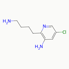 NCCCCc1ncc(Cl)cc1N